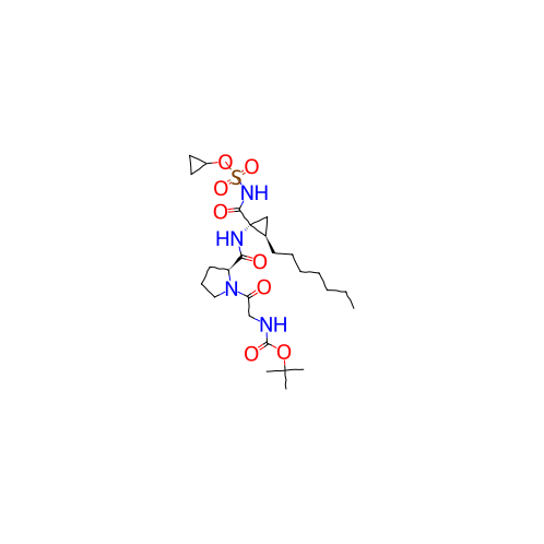 CCCCCCC[C@@H]1C[C@]1(NC(=O)[C@@H]1CCCN1C(=O)CNC(=O)OC(C)(C)C)C(=O)NS(=O)(=O)OC1CC1